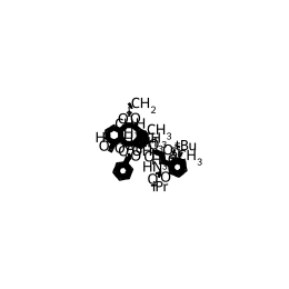 C=C[C@@H]1O[C@@H]2C3=C(C)[C@@H](OC(=O)[C@H](O[Si](C)(C)C(C)(C)C)[C@@H](NC(=O)OC(C)C)c4ccccc4)C[C@@](O)([C@@H](OC(=O)c4ccccc4)[C@H]4[C@@](C)(CC[C@H]5OC[C@]54OC(C)=O)[C@@H]2O1)C3(C)C